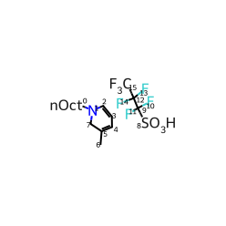 CCCCCCCCN1C=CC=C(C)C1.O=S(=O)(O)C(F)(F)C(F)(F)C(F)(F)F